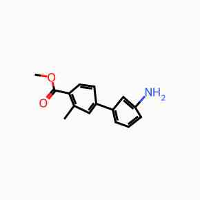 COC(=O)c1ccc(-c2cccc(N)c2)cc1C